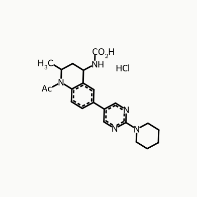 CC(=O)N1c2ccc(-c3cnc(N4CCCCC4)nc3)cc2C(NC(=O)O)CC1C.Cl